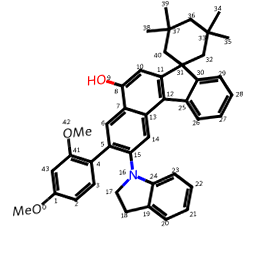 COc1ccc(-c2cc3c(O)cc4c(c3cc2N2CCc3ccccc32)-c2ccccc2C42CC(C)(C)CC(C)(C)C2)c(OC)c1